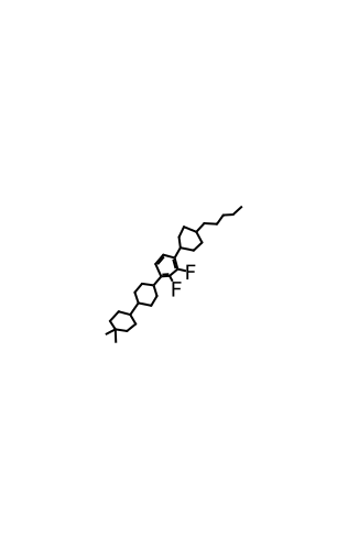 CCCCCC1CCC(c2ccc(C3CCC(C4CCC(C)(C)CC4)CC3)c(F)c2F)CC1